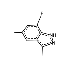 Cc1cc(F)c2[nH]nc(C)c2c1